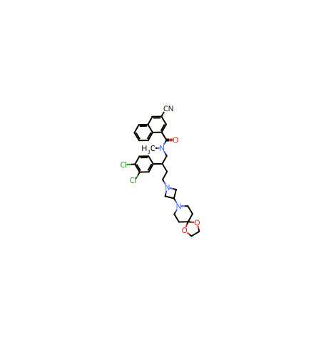 CN(CC(CCN1CC(N2CCC3(CC2)OCCO3)C1)c1ccc(Cl)c(Cl)c1)C(=O)c1cc(C#N)cc2ccccc12